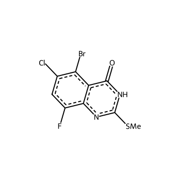 CSc1nc2c(F)cc(Cl)c(Br)c2c(=O)[nH]1